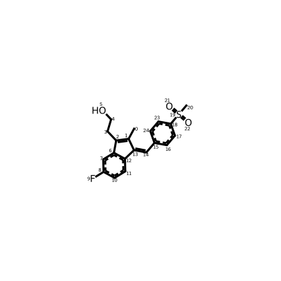 CC1=C(CCO)c2cc(F)ccc2/C1=C/c1ccc(S(C)(=O)=O)cc1